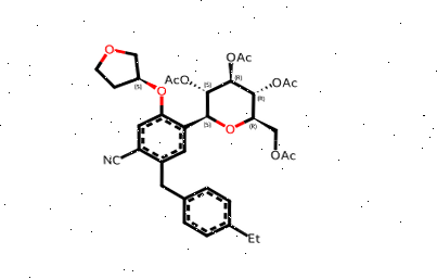 CCc1ccc(Cc2cc([C@@H]3O[C@H](COC(C)=O)[C@@H](OC(C)=O)[C@H](OC(C)=O)[C@H]3OC(C)=O)c(O[C@H]3CCOC3)cc2C#N)cc1